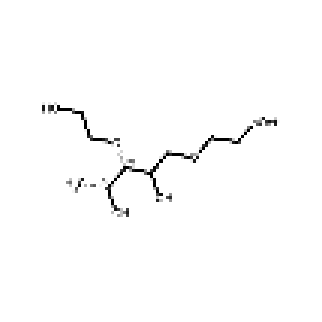 CCCCCCCCCCOCC(O)[C@@H](OCCO)[C@@H](C)O